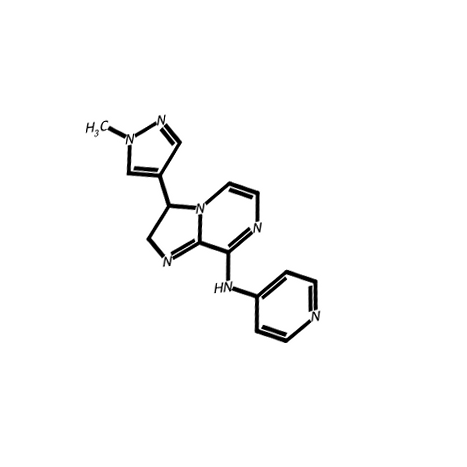 Cn1cc(C2CN=C3C(Nc4ccncc4)=NC=CN32)cn1